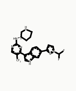 FC(F)n1ccc(-c2ccc3c(-c4nc(N[C@H]5CCCNC5)ncc4C(F)(F)F)c[nH]c3c2)n1